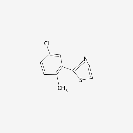 Cc1ccc(Cl)cc1-c1n[c]cs1